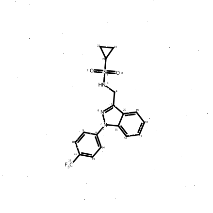 O=S(=O)(NCc1nn(-c2ccc(C(F)(F)F)cc2)c2ccccc12)C1CC1